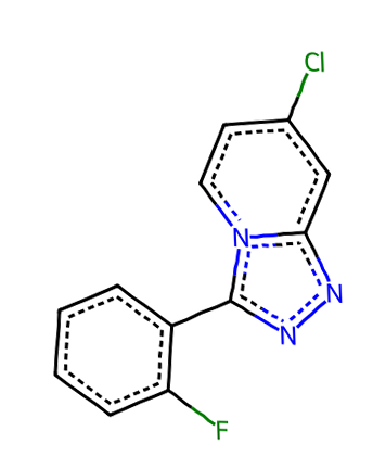 Fc1ccccc1-c1nnc2cc(Cl)ccn12